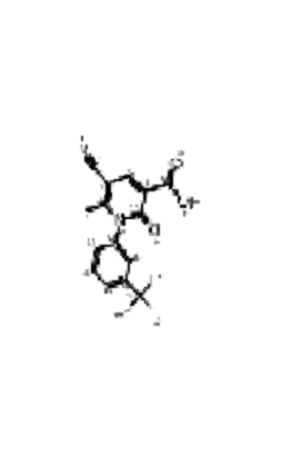 Cc1c(C#N)cc(C(=O)O)c(=O)n1-c1cccc(C(F)(F)F)c1